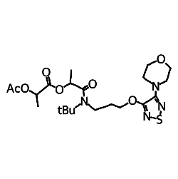 CC(=O)OC(C)C(=O)OC(C)C(=O)N(CCCOc1nsnc1N1CCOCC1)C(C)(C)C